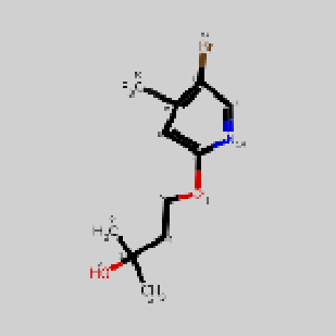 CC(C)(O)CCOc1cc(C(F)(F)F)c(Br)cn1